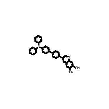 N#Cc1cc2ncc(-c3ccc(-c4ccc(N(c5ccccc5)c5ccccc5)cc4)cc3)nc2cc1C#N